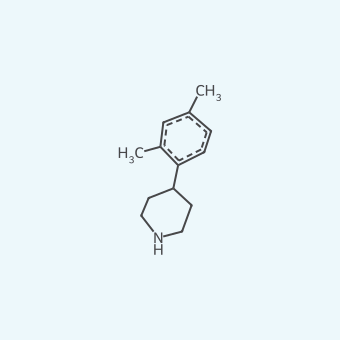 Cc1ccc(C2CCNCC2)c(C)c1